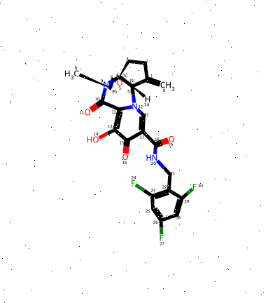 C=C1CC[C@@]23OC[C@@H](C)N2C(=O)c2c(O)c(=O)c(C(=O)NCc4c(F)cc(F)cc4F)cn2[C@@H]13